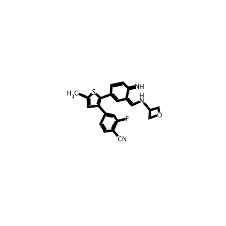 Cc1cc(-c2ccc(C#N)c(F)c2)c(C2=C/C(=C/NC3COC3)C(=N)C=C2)s1